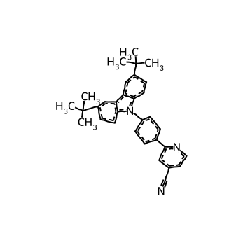 CC(C)(C)c1ccc2c(c1)c1cc(C(C)(C)C)ccc1n2-c1ccc(-c2cc(C#N)ccn2)cc1